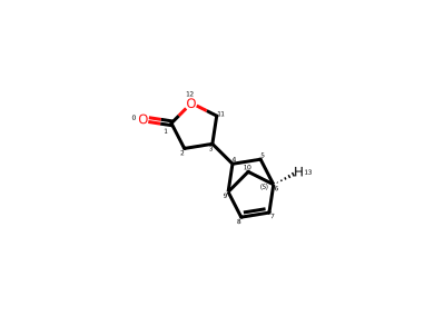 O=C1CC(C2C[C@H]3C=CC2C3)CO1